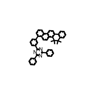 CC1(C)c2ccccc2-c2ccc3c(ccc4c(-c5cccc(-c6nc(-c7ccccc7)nc(-c7ccccc7)n6)c5)cccc43)c2C1(C)C